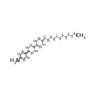 CCCCCCCCCCCC[C@H]1CC[C@H](C2CCC(c3ccc(N)cc3)CC2)CC1